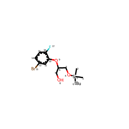 CC(C)(C)[Si](C)(C)OCC(CO)Oc1cc(Br)ccc1F